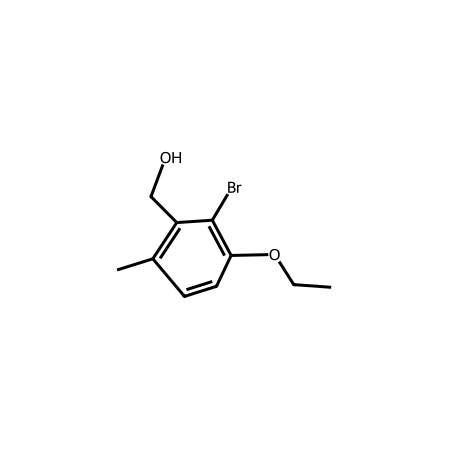 CCOc1ccc(C)c(CO)c1Br